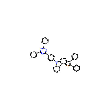 c1ccc(-c2nc(-c3ccccc3)nc(-c3ccc(-n4c5ccccc5c5c6sc(-c7ccccc7)c(-c7ccccc7)c6ccc54)cc3)n2)cc1